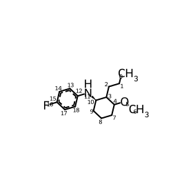 CCCC1C(OC)CCC[C@H]1Nc1ccc(F)cc1